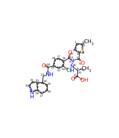 Cc1ccc(C(=O)N(N[C@@H](C)C(=O)O)C(=O)c2ccc(C(=O)NCc3cccc4[nH]ccc34)cc2Cl)s1